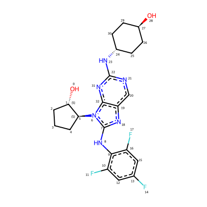 O[C@H]1CCC[C@@H]1n1c(Nc2c(F)cc(F)cc2F)nc2cnc(N[C@H]3CC[C@H](O)CC3)nc21